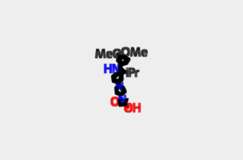 COc1ccc(-c2[nH]c3ccc(N4CCC(N5CC(O)CC5=O)CC4)cc3c2C(C)C)cc1OC